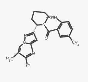 CC(=O)Nc1ccc(C)cc1C(=O)N1CCCC[C@H]1c1cc2nc(Cl)c(C)cn2n1